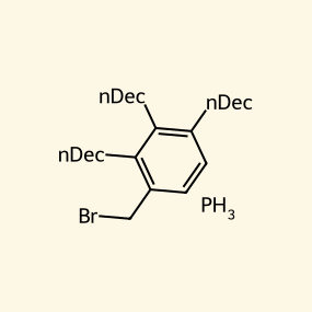 CCCCCCCCCCc1ccc(CBr)c(CCCCCCCCCC)c1CCCCCCCCCC.P